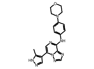 Cc1[nH]ncc1-c1cnc(Nc2ccc(N3CCOCC3)cc2)c2ncnn12